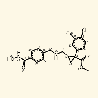 COC(=O)[C@]1(c2ccc(Cl)c(Cl)c2)C[C@H]1CNCc1ccc(C(=O)NO)cc1